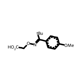 COc1ccc(C(=NOCC(=O)O)C(C)(C)C)cc1